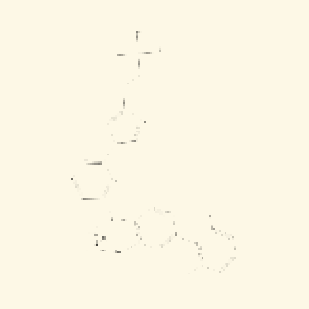 CC1(CCc2ncn(-c3nccc(C45CCC(c6cc(-c7c(F)cccc7F)nnc64)C5(C)C)n3)n2)COC1